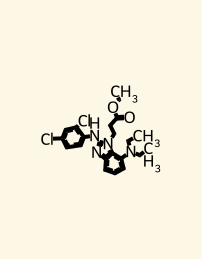 CCOC(=O)CCn1c(Nc2ccc(Cl)cc2Cl)nc2cccc(N(CC)CC)c21